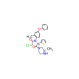 Cc1cc(Oc2ccccc2)ccc1N(C(=O)CCl)[C@@H](C(=O)N1CCN[C@@H](C)C1)c1cccs1